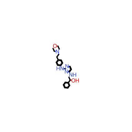 OC(CNc1ccnc(Nc2ccc(CCN3CCOCC3)cc2)n1)c1ccccc1